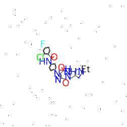 CCN1CCC(CNC(=O)c2ncn(-c3ccc(NC(=O)c4ccc(F)cc4Cl)cc3)c2C(N)=O)CC1